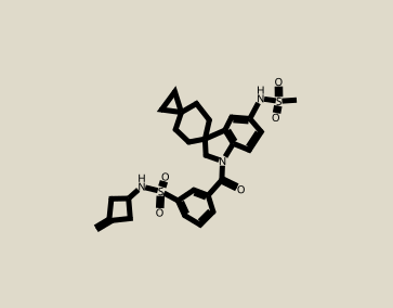 C=C1CC(NS(=O)(=O)c2cccc(C(=O)N3CC4(CCC5(CC5)CC4)c4cc(NS(C)(=O)=O)ccc43)c2)C1